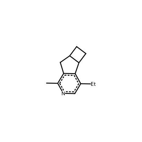 CCc1cnc(C)c2c1C1CCC1C2